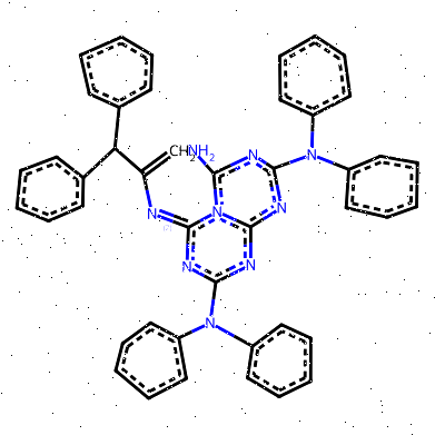 C=C(/N=c1/nc(N(c2ccccc2)c2ccccc2)nc2nc(N(c3ccccc3)c3ccccc3)nc(N)n12)C(c1ccccc1)c1ccccc1